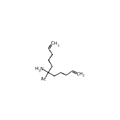 C=CCCCC(N)(CCCC=C)C(C)=O